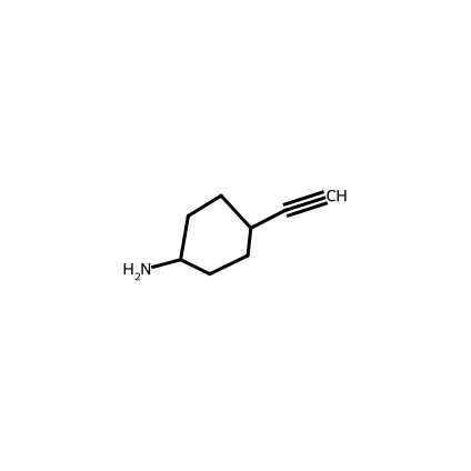 C#CC1CCC(N)CC1